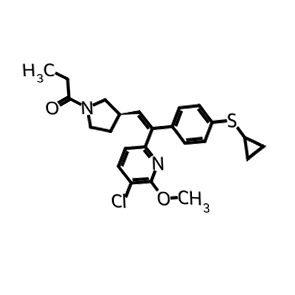 CCC(=O)N1CC[C@H](C=C(c2ccc(SC3CC3)cc2)c2ccc(Cl)c(OC)n2)C1